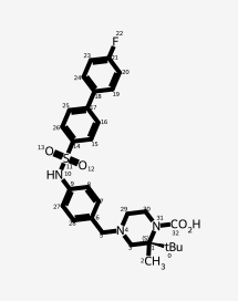 CC(C)(C)[C@@]1(C)CN(Cc2ccc(NS(=O)(=O)c3ccc(-c4ccc(F)cc4)cc3)cc2)CCN1C(=O)O